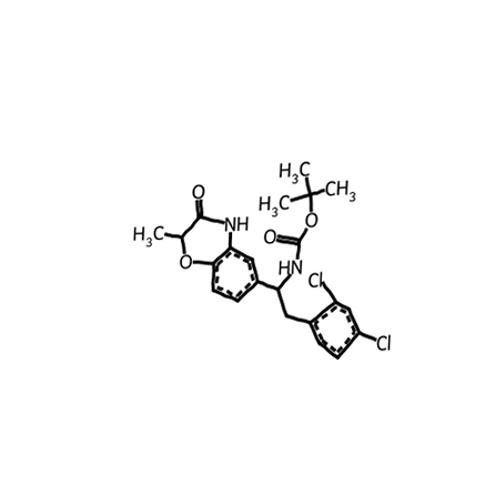 CC1Oc2ccc(C(Cc3ccc(Cl)cc3Cl)NC(=O)OC(C)(C)C)cc2NC1=O